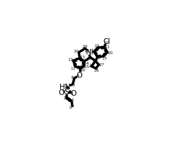 CC=CS(=O)(=O)NCCOc1ccc2c(c1)C(C1(c3ccc(Cl)cc3)CCC1)NCC2